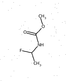 COC(=O)NC(C)F